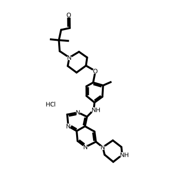 Cc1cc(Nc2ncnc3cnc(N4CCNCC4)cc23)ccc1OC1CCN(CC(C)(C)CC=O)CC1.Cl